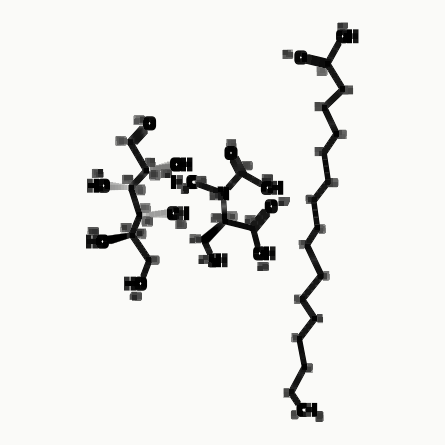 CCCCCCCCCCCCCCCC(=O)O.CN(C(=O)O)[C@H](CS)C(=O)O.O=C[C@H](O)[C@@H](O)[C@H](O)[C@H](O)CO